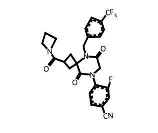 N#Cc1ccc(N2CC(=O)N(Cc3ccc(C(F)(F)F)cc3)C3(CC(C(=O)N4CCC4)C3)C2=O)c(F)c1